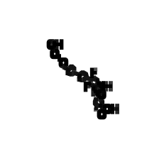 Cc1ccc(Oc2nc3c(F)c(-c4ccc(-c5ccc(COCCOCCO)cc5)cc4)c(F)cc3[nH]2)cc1C(=O)O